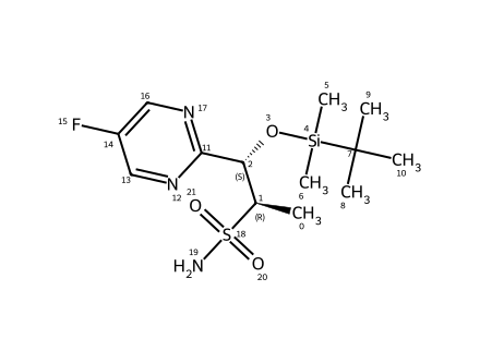 C[C@H]([C@@H](O[Si](C)(C)C(C)(C)C)c1ncc(F)cn1)S(N)(=O)=O